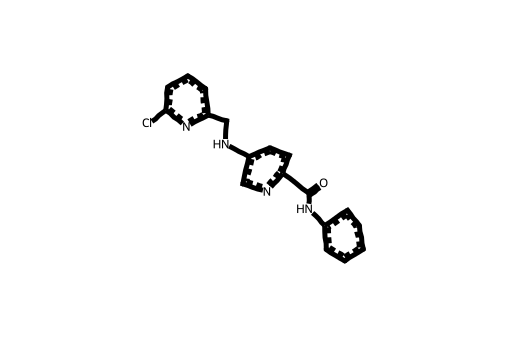 O=C(Nc1ccccc1)c1ccc(NCc2cccc(Cl)n2)cn1